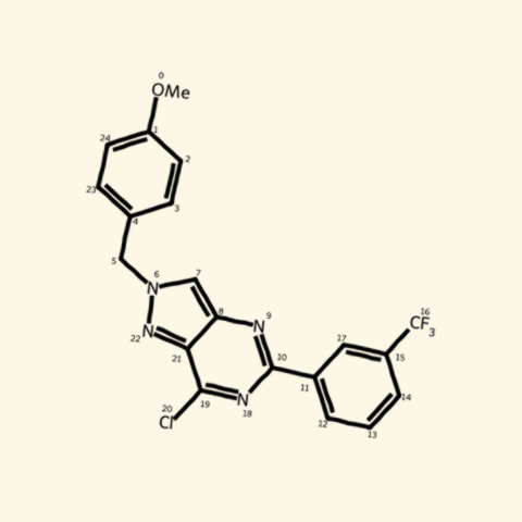 COc1ccc(Cn2cc3nc(-c4cccc(C(F)(F)F)c4)nc(Cl)c3n2)cc1